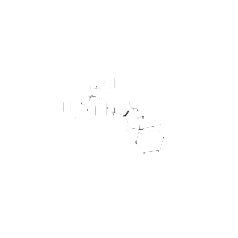 N[C@@H](CNC(=O)CC1(N)CCCCC1)C(=O)O